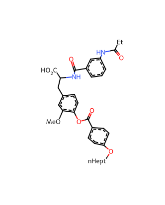 CCCCCCCOc1ccc(C(=O)Oc2ccc(CC(NC(=O)c3cccc(NC(=O)CC)c3)C(=O)O)cc2OC)cc1